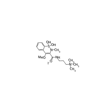 COC1=C(C(=O)NCCC[N+](C)(C)C)N(C)S(O)(O)c2ccccc21.[I-]